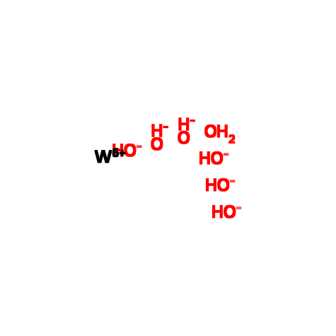 O.[OH-].[OH-].[OH-].[OH-].[OH-].[OH-].[W+6]